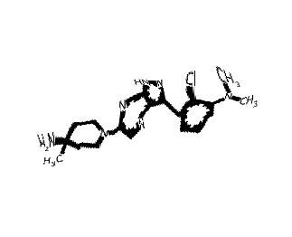 CN(C)c1cccc(-c2n[nH]c3nc(N4CCC(C)(N)CC4)cnc23)c1Cl